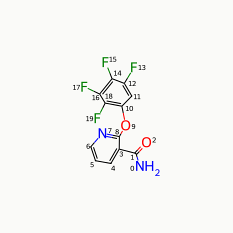 NC(=O)c1cccnc1Oc1cc(F)c(F)c(F)c1F